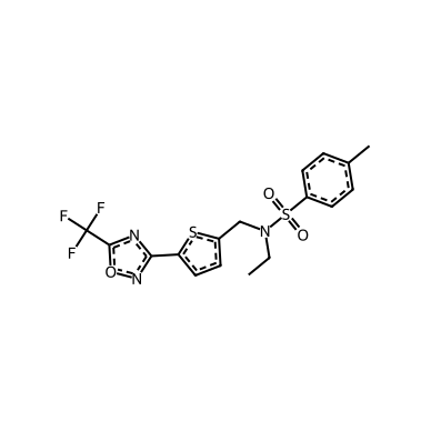 CCN(Cc1ccc(-c2noc(C(F)(F)F)n2)s1)S(=O)(=O)c1ccc(C)cc1